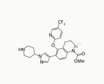 COC(=O)N1c2ccc(-c3cnn(C4CCNCC4)c3)c(Oc3ccc(C(F)(F)F)cn3)c2CC[C@@H]1C